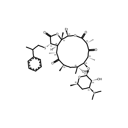 CC[C@H]1OC(=O)[C@H](C)C(=O)[C@H](C)[C@@H](O[C@@H]2O[C@H](C)C[C@H](N(C)C)[C@H]2O)[C@](C)(OC)C[C@@H](C)C(=O)[C@H](C)[C@H]2[C@H](SCC(C)c3ccccc3)C(=O)O[C@@]21C